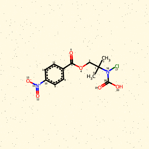 CC(C)(COC(=O)c1ccc([N+](=O)[O-])cc1)N(Cl)C(=O)O